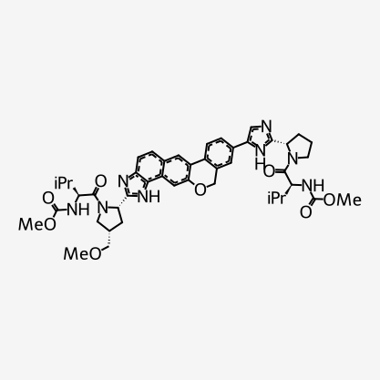 COC[C@H]1C[C@@H](c2nc3ccc4cc5c(cc4c3[nH]2)OCc2cc(-c3cnc([C@@H]4CCCN4C(=O)[C@@H](NC(=O)OC)C(C)C)[nH]3)ccc2-5)N(C(=O)[C@@H](NC(=O)OC)C(C)C)C1